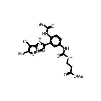 CCCC(=O)Nc1ccc(NC(=O)NCCC(=O)OC)cc1-c1nn2nc(C(C)(C)C)c(Cl)c2[nH]1